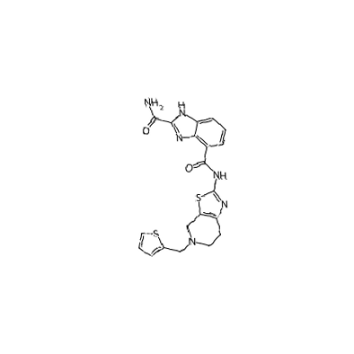 NC(=O)c1nc2c(C(=O)Nc3nc4c(s3)CN(Cc3cccs3)CC4)cccc2[nH]1